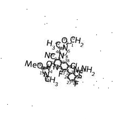 C=CC(=O)N1CCN(c2c(C#N)c(O[C@@H]3CN(C)C[C@H]3OC)nc3c(F)c(-c4ccc(F)c5sc(N)nc45)c(Cl)cc23)CC1C